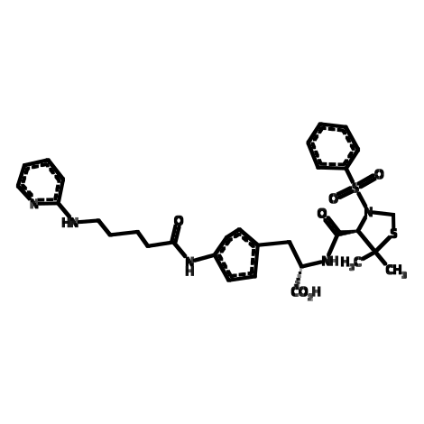 CC1(C)SCN(S(=O)(=O)c2ccccc2)[C@@H]1C(=O)N[C@@H](Cc1ccc(NC(=O)CCCCNc2ccccn2)cc1)C(=O)O